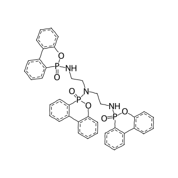 O=P1(NCCN(CCNP2(=O)Oc3ccccc3-c3ccccc32)P2(=O)Oc3ccccc3-c3ccccc32)Oc2ccccc2-c2ccccc21